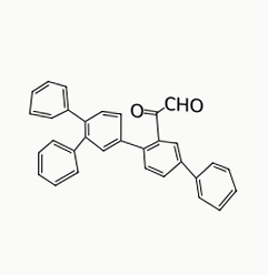 O=CC(=O)c1cc(-c2ccccc2)ccc1-c1ccc(-c2ccccc2)c(-c2ccccc2)c1